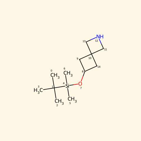 CC(C)(C)[Si](C)(C)OC1CC2(CNC2)C1